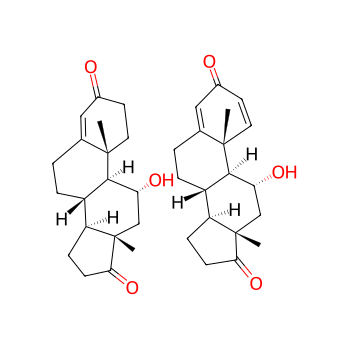 C[C@]12C=CC(=O)C=C1CC[C@@H]1[C@@H]2[C@H](O)C[C@]2(C)C(=O)CC[C@@H]12.C[C@]12CCC(=O)C=C1CC[C@@H]1[C@@H]2[C@H](O)C[C@]2(C)C(=O)CC[C@@H]12